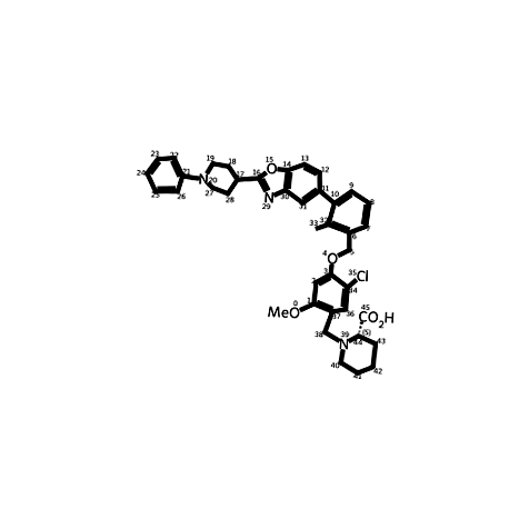 COc1cc(OCc2cccc(-c3ccc4oc(C5CCN(c6ccccc6)CC5)nc4c3)c2C)c(Cl)cc1CN1CCCC[C@H]1C(=O)O